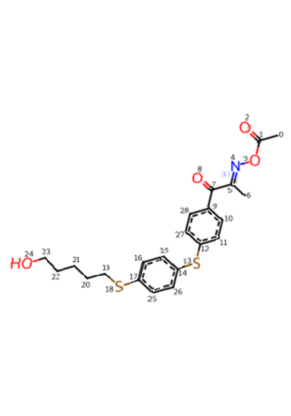 CC(=O)O/N=C(\C)C(=O)c1ccc(Sc2ccc(SCCCCCO)cc2)cc1